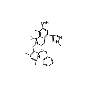 Cc1cc(C)c(CN2CCc3c(-c4cnn(C)c4)cc(OC(C)C)c(C)c3C2=O)c(OCc2ccccc2)n1